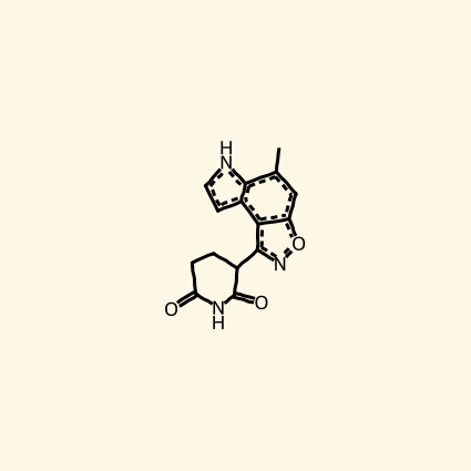 Cc1cc2onc(C3CCC(=O)NC3=O)c2c2cc[nH]c12